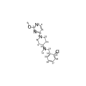 COc1nccc(N2CCC(N(C)Cc3ccccc3Cl)CC2)n1